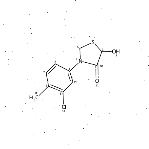 Cc1ccc(N2CSC(O)C2=O)cc1Cl